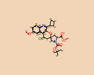 COC(=O)[C@@H]1C[C@]2(CC(Cl)c3c(c(C4CCC4)nc4ccc(OC)cc34)O2)CN1C(=O)OC(C)(C)C